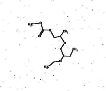 CCOC(CC)COC(C)COC(=O)OC